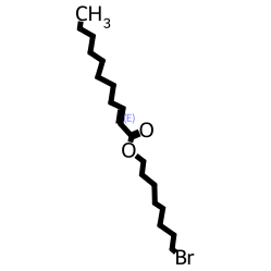 CCCCCCCC/C=C/C(=O)OCCCCCCCCBr